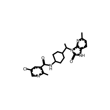 Cc1ccc2[nH]c(=O)n(C(C)C3CCC(NC(=O)c4cc(Cl)cnc4C)CC3)c2n1